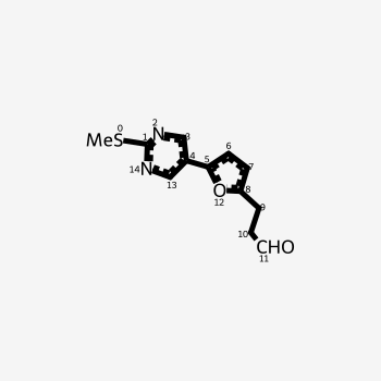 CSc1ncc(-c2ccc(CCC=O)o2)cn1